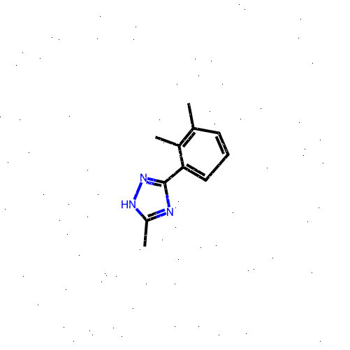 Cc1nc(-c2cccc(C)c2C)n[nH]1